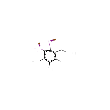 CCc1c(C)c(C)c([PH2]=S)c([PH2]=S)c1CC(=O)O